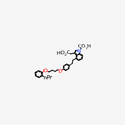 CCCc1ccccc1OCCCCOc1ccc(CCc2cccc3c2c(CC(=O)O)cn3CC(=O)O)cc1